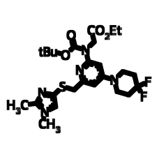 CCOC(=O)CN(C(=O)OC(C)(C)C)c1cc(N2CCC(F)(F)CC2)cc(CSc2cn(C)c(C)n2)n1